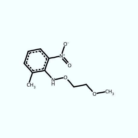 COCCONc1c(C)cccc1[N+](=O)[O-]